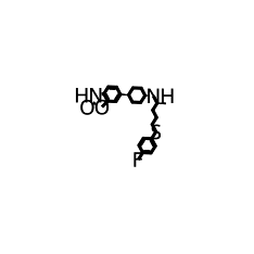 C[C@@H](CCCSc1ccc(F)cc1)N[C@H]1CC[C@H](c2ccc3[nH]c(=O)oc3c2)CC1